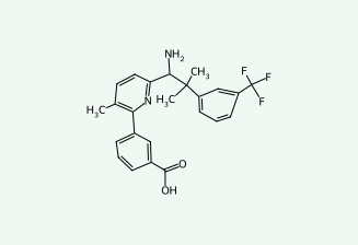 Cc1ccc(C(N)C(C)(C)c2cccc(C(F)(F)F)c2)nc1-c1cccc(C(=O)O)c1